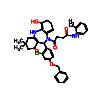 Cc1ccccc1NC(=O)CCC(=O)N1C2=CCCC(O)=C2NC2=C(C(=O)CC(C)(C)C2)C1c1ccc(OCc2ccccc2)cc1Cl